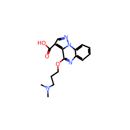 CN(C)CCCOc1nc2ccccc2n2ncc(C(=O)O)c12